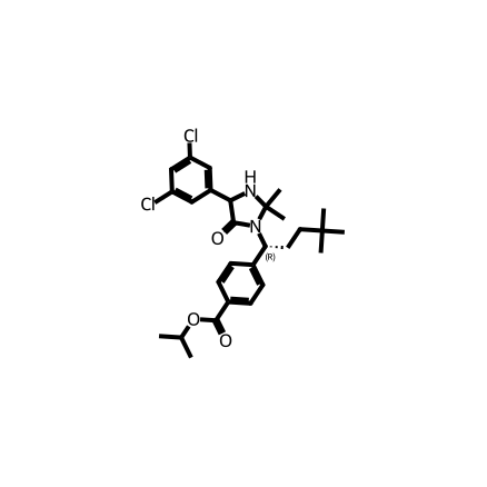 CC(C)OC(=O)c1ccc([C@@H](CCC(C)(C)C)N2C(=O)C(c3cc(Cl)cc(Cl)c3)NC2(C)C)cc1